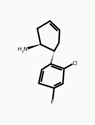 N[C@H]1CC=CC[C@@H]1c1ccc(F)cc1Cl